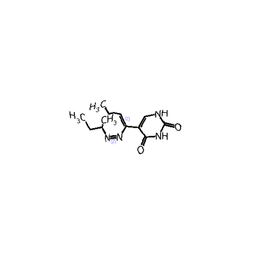 CC/C=C(\N=N/C(C)CC)c1c[nH]c(=O)[nH]c1=O